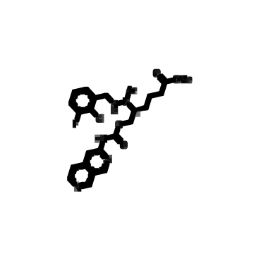 COC(=O)CCC[C@@H](COC(=O)Nc1cc2ccncc2cn1)N(NCc1cccc(F)c1Cl)C(C)=O